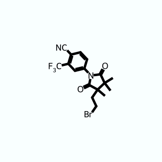 CC1(C)C(=O)N(c2ccc(C#N)c(C(F)(F)F)c2)C(=O)C1(C)CCBr